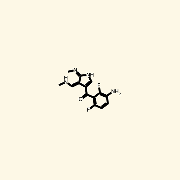 C/N=C1/NC=C(C(=O)c2c(F)ccc(N)c2F)/C1=C/NC